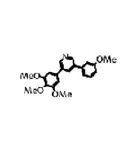 COc1cccc(-c2cncc(-c3cc(OC)c(OC)c(OC)c3)c2)c1